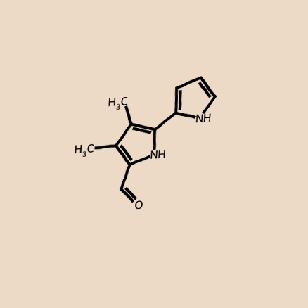 Cc1c(C=O)[nH]c(-c2ccc[nH]2)c1C